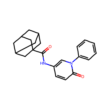 O=C(Nc1ccc(=O)n(-c2ccccc2)c1)C12CC3CC(CC(C3)C1)C2